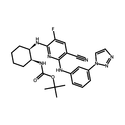 CC(C)(C)OC(=O)N[C@H]1CCCC[C@H]1Nc1nc(Nc2cccc(-n3ccnn3)c2)c(C#N)cc1F